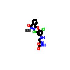 CCCCn1nc(Oc2c(Cl)cc(NCc3n[nH]c(=O)o3)cc2Cl)c2ccccc2c1=O